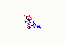 CO/N=C(\C(=O)NC1C(=O)N2C(C(=O)O)=C(C)CSC12)c1csc(N)n1